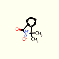 CC1(C)c2ccccc2C(=O)[NH+]1[O-]